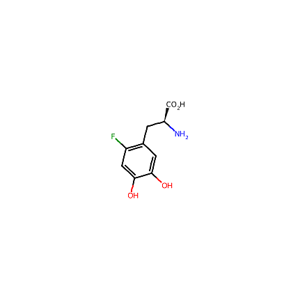 N[C@@H](Cc1cc(O)c(O)cc1F)C(=O)O